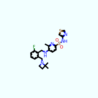 Cc1nc(S(=O)(=O)Nc2cscn2)ccc1NCc1c(F)cccc1CN1CCC1(C)C